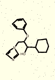 OC(C1CCCCC1)C(Cn1ccnc1)Oc1ccccc1